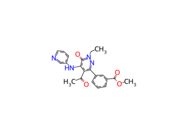 CCn1nc(-c2cccc(C(=O)OC)c2)c(C(C)=O)c(Nc2cccnc2)c1=O